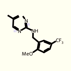 C=C(C)/C=N\C(=N/C)NCc1cc(C(F)(F)F)ccc1OC